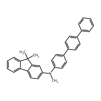 CN(c1ccc(-c2ccc(-c3ccccc3)cc2)cc1)c1ccc2c(c1)C(C)(C)c1ccccc1-2